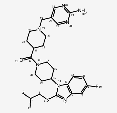 CC(C)CSc1nc2cc(F)ccc2n1C1CCN(C(=O)C2CCN(Cc3cnc(N)nc3)CC2)CC1